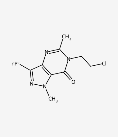 CCCc1nn(C)c2c(=O)n(CCCl)c(C)nc12